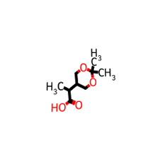 CC(C(=O)O)C1COC(C)(C)OC1